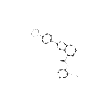 CCSc1ccncc1NC(=O)c1ccnc2[nH]c(-c3ccc(N4CCCC4)cc3)nc12